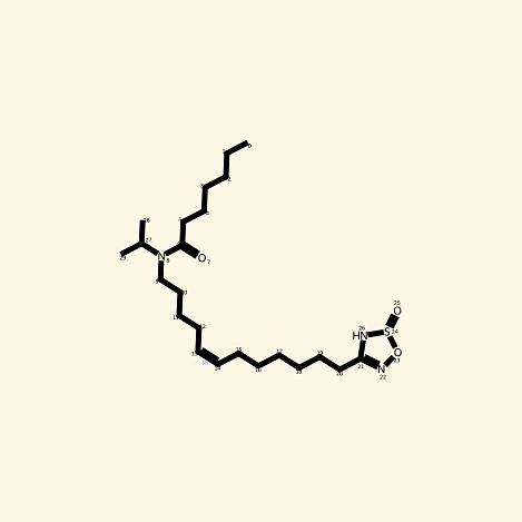 CCCCCCC(=O)N(CCCC/C=C\CCCCCCC1=NOS(=O)N1)C(C)C